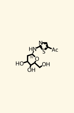 CC(=O)c1cnc(N[C@@H]2CC(O)C(O)C(CO)O2)s1